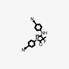 CC(F)(C(=O)Nc1ccc(C#N)cc1)C(=O)Nc1ccc(C#N)cc1